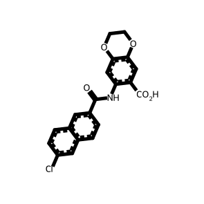 O=C(Nc1cc2c(cc1C(=O)O)OCCO2)c1ccc2cc(Cl)ccc2c1